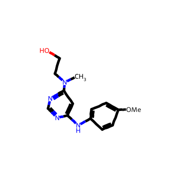 COc1ccc(Nc2cc(N(C)CCO)ncn2)cc1